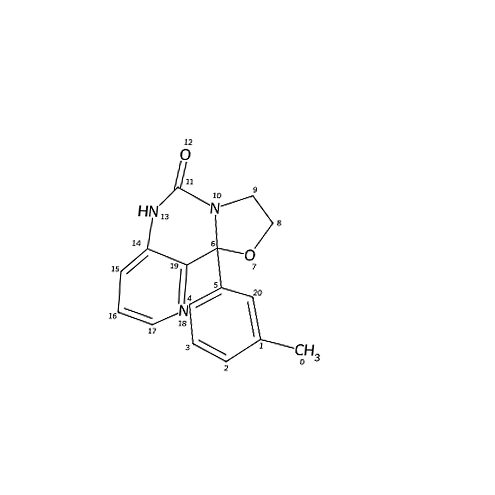 Cc1cccc(C23OCCN2C(=O)Nc2cccnc23)c1